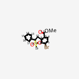 COC(=O)c1ccc(Br)cc1CC(c1ccccc1)S(C)(=O)=O